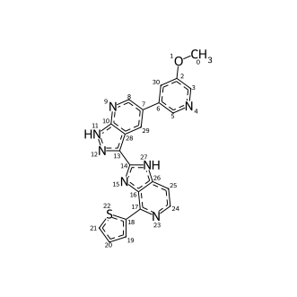 COc1cncc(-c2cnc3[nH]nc(-c4nc5c(-c6cccs6)nccc5[nH]4)c3c2)c1